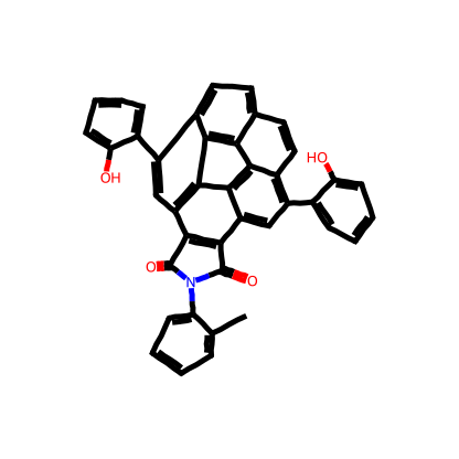 Cc1ccccc1-n1c(=O)c2c3cc(-c4ccccc4O)c4ccc5ccc6c(-c7ccccc7O)cc(c2c1=O)c1c6c5c4c31